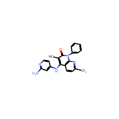 N#Cc1c(Nc2ccnc(N)c2)c2ccc(C(F)(F)F)nc2n(-c2ccccc2)c1=O